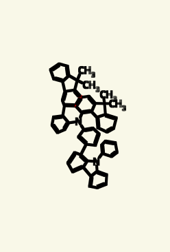 CC1(C)c2ccccc2-c2cc(-c3ccccc3N(c3cccc(-c4cccc5c6ccccc6n(-c6ccccc6)c45)c3)c3cccc4c3-c3ccccc3C4(C)C)ccc21